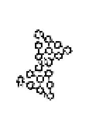 c1ccc(-c2ccc(-c3ccccc3C3CC(c4ccccc4-c4ccc(-c5ccccn5)cc4)CC(c4ccccc4-c4ccc(-c5ccc(-c6ccccc6C6CC(c7ccccc7-c7ccc(-c8ccccn8)cc7)CC(c7ccccc7-c7ccc(-c8ccccn8)cc7)C6)cn5)nc4)C3)cc2)nc1